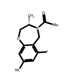 C[C@H]1COc2cc(C#N)cc(F)c2CN1C(=O)C(C)(C)C